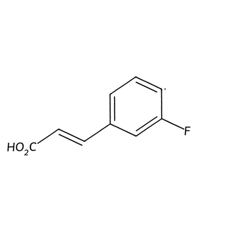 O=C(O)/C=C/c1cc[c]c(F)c1